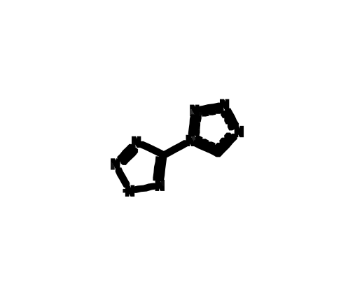 c1nnnn1C1=N[N]N=N1